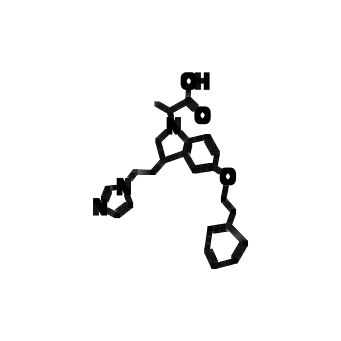 CC(C(=O)O)N1CC(CCn2ccnc2)c2cc(OCCc3ccccc3)ccc21